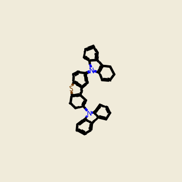 C1=Cc2c(c3ccccc3n2-c2ccc3sc4c(c3c2)C=C(n2c3ccccc3c3ccccc32)CC4)CC1